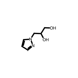 OCC(O)Cn1cc[c]n1